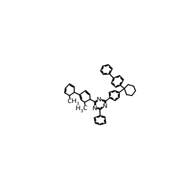 CC1C=CC=CC1C1=CC(C)C(c2nc(-c3ccccc3)nc(-c3ccc(C4(c5ccc(-c6ccccc6)cc5)CCCCC4)cc3)n2)C=C1